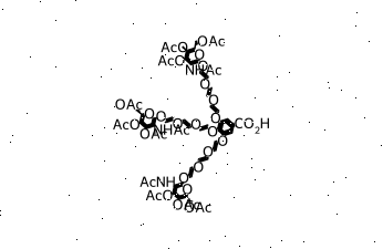 CC(=O)N[C@H]1[C@H](OCCOCCOCCOc2cc(C(=O)O)cc(OCCOCCOCCOC3O[C@H](COC(C)=O)[C@H](OC(C)=O)[C@H](OC(C)=O)[C@H]3NC(C)=O)c2OCCOCCOCCO[C@@H]2O[C@H](COC(C)=O)[C@H](OC(C)=O)[C@H](OC(C)=O)[C@H]2NC(C)=O)O[C@H](COC(C)=O)[C@H](OC(C)=O)[C@@H]1OC(C)=O